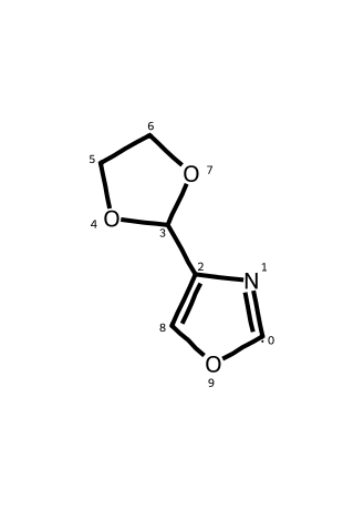 [c]1nc(C2OCCO2)co1